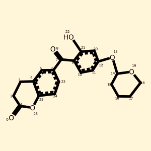 O=C1CCc2cc(C(=O)c3ccc(OC4CCCCO4)cc3O)ccc2O1